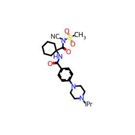 CC(C)N1CCN(c2ccc(C(=O)NC3(C(=O)N(C#N)S(C)(=O)=O)CCCCC3)cc2)CC1